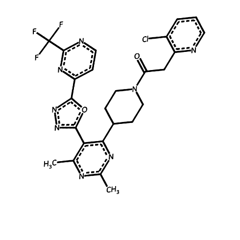 Cc1nc(C)c(-c2nnc(-c3ccnc(C(F)(F)F)n3)o2)c(C2CCN(C(=O)Cc3ncccc3Cl)CC2)n1